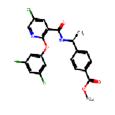 CCCCOC(=O)c1ccc([C@H](C)NC(=O)c2cc(Cl)cnc2Oc2cc(F)cc(Cl)c2)cc1